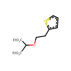 CCOC(=O)C(OCCc1cccs1)C(=O)OCC